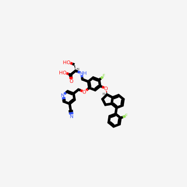 N#Cc1cncc(COc2cc(O[C@H]3CCc4c(-c5ccccc5F)cccc43)c(F)cc2CN[C@@H](CO)C(=O)O)c1